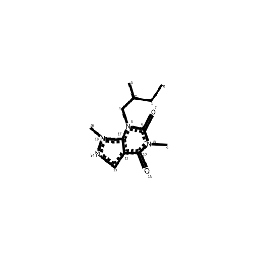 CCC(C)Cn1c(=O)n(C)c(=O)c2cnn(C)c21